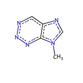 Cn1cnc2cnnnc21